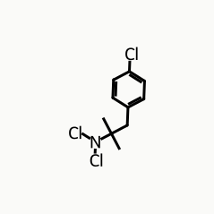 CC(C)(Cc1ccc(Cl)cc1)N(Cl)Cl